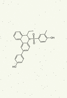 CCC1c2ccccc2-c2cc(-c3ccc(O)cc3)ccc2N1S(=O)(=O)c1ccc(O)c(C)c1